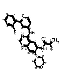 C=C(F)C(=O)Nc1cc2c(Nc3ccnc(-c4ccccc4F)c3)ncnc2cc1N1CCOCC1